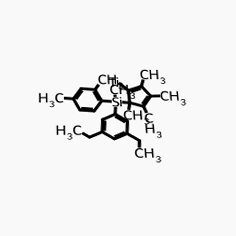 CCc1cc(CC)cc([Si](C)(c2ccc(C)cc2C)C2(C)C(C)=C(C)C(C)=[C]2[Ti])c1